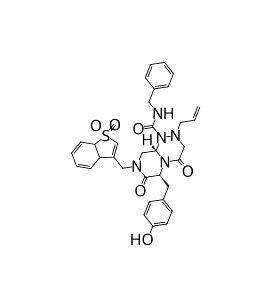 C=CCN1CC(=O)N2[C@@H](Cc3ccc(O)cc3)C(=O)N(CC3=CS(=O)(=O)C4C=CC=CC34)C[C@@H]2N1C(=O)NCc1ccccc1